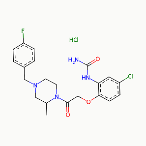 CC1CN(Cc2ccc(F)cc2)CCN1C(=O)COc1ccc(Cl)cc1NC(N)=O.Cl